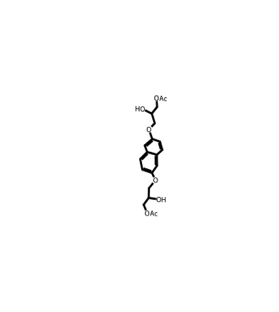 CC(=O)OCC(O)COc1ccc2cc(OCC(O)COC(C)=O)ccc2c1